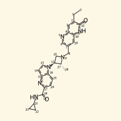 CCc1cc2ncc(CN3C[C@H](n4ccc5nc(C(=O)NC6CC6)ccc54)[C@H]3C)cc2[nH]c1=O